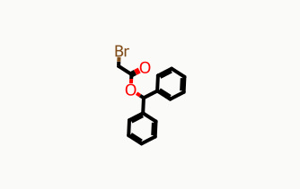 O=C(CBr)OC(c1ccccc1)c1ccccc1